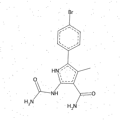 Cc1c(-c2ccc(Br)cc2)[nH]c(NC(N)=O)c1C(N)=O